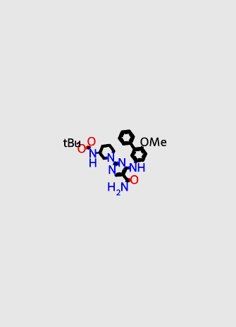 COc1ccc(Nc2nc(N3CCC[C@H](NC(=O)OC(C)(C)C)C3)ncc2C(N)=O)cc1-c1ccccc1